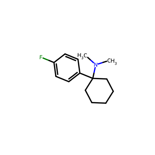 CN(C)C1(c2ccc(F)cc2)CCCCC1